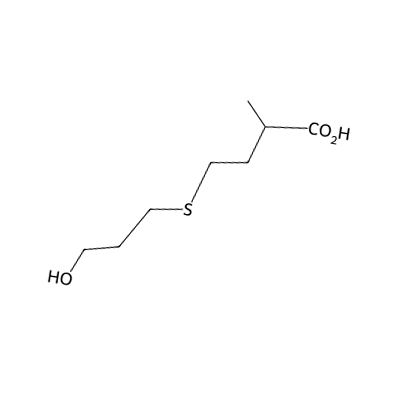 CC(CCSCCCO)C(=O)O